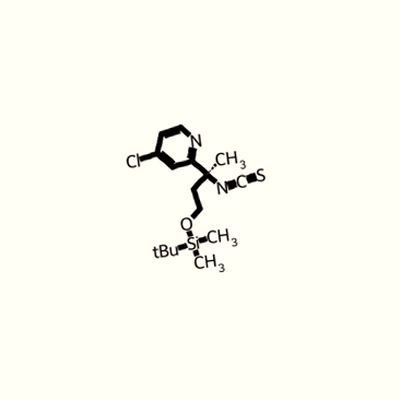 CC(C)(C)[Si](C)(C)OCC[C@](C)(N=C=S)c1cc(Cl)ccn1